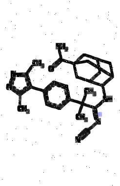 Cc1noc(C)c1-c1ccc(C(C)(C)/C(=N\C#N)NC2C3CC4CC2CC(C(N)=O)(C4)C3)cc1